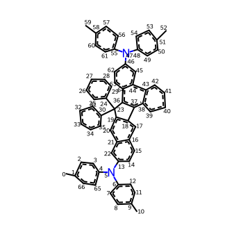 Cc1ccc(N(c2ccc(C)cc2)c2ccc3cc4c(cc3c2)C(c2ccccc2)(c2ccccc2)c2c-4c3ccccc3c3cc(N(c4ccc(C)cc4)c4ccc(C)cc4)ccc23)cc1